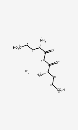 Cl.N[C@@H](CCC(=O)O)C(=O)OC(=O)[C@@H](N)CCC(=O)O